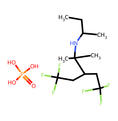 CCC(C)NC(C)(C)C(CC(F)(F)F)CC(F)(F)F.O=P(O)(O)O